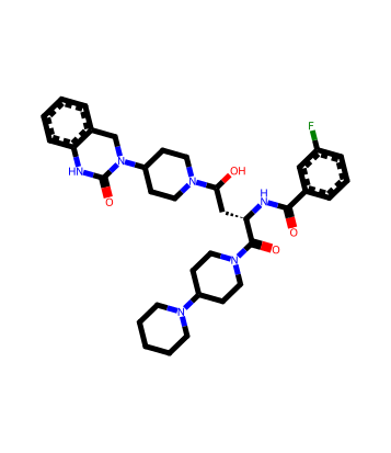 O=C(N[C@@H](CC(O)N1CCC(N2Cc3ccccc3NC2=O)CC1)C(=O)N1CCC(N2CCCCC2)CC1)c1cccc(F)c1